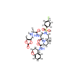 Cc1oc(=O)oc1CN(C)[C@@H](C)C(=O)N[C@H]1CN(S(=O)(=O)c2ccc(F)cc2)CC[C@H]2CC[C@@H](C(=O)N[C@@H]3CCOc4ccccc43)N2C1=O